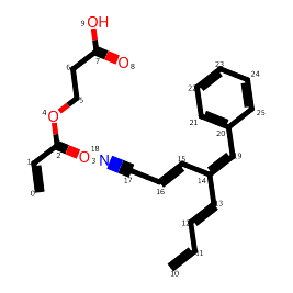 C=CC(=O)OCCC(=O)O.C=CC=CC(C=CC#N)=Cc1ccccc1